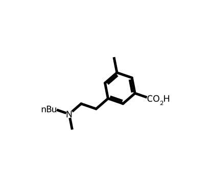 CCCCN(C)CCc1cc(C)cc(C(=O)O)c1